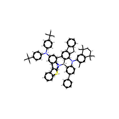 Cc1cc2c(cc1N1c3ccc(-c4ccccc4)cc3B3c4c(cc5c(c41)Cc1ccccc1-5)-c1cc(N(c4ccc(C(C)(C)C)cc4)c4ccc(C(C)(C)C)cc4)cc4c5c6ccccc6sc5n3c14)C(C)(C)CCC2(C)C